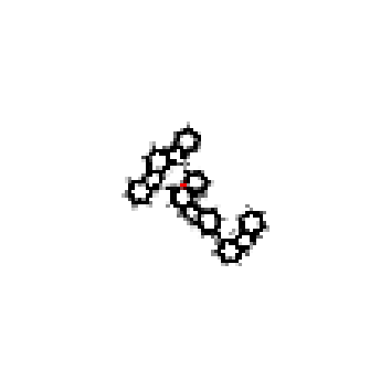 c1ccc(-n2c3ccccc3c3ccc4c5ccccc5n(-c5ccc6c(c5)sc5cc(-c7cccc8oc9ccccc9c78)ccc56)c4c32)cc1